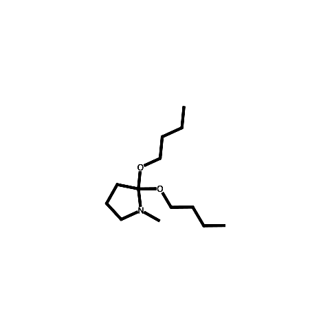 CCCCOC1(OCCCC)CCCN1C